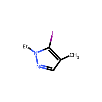 CCn1n[c]c(C)c1I